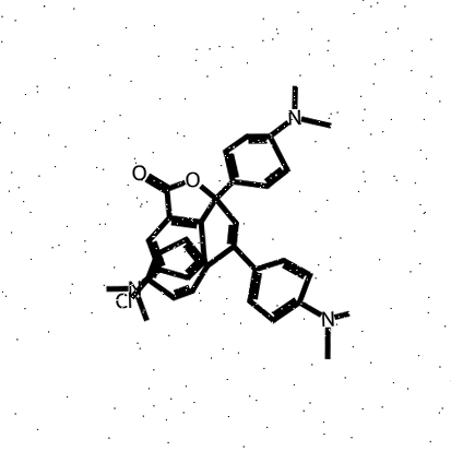 CN(C)c1ccc(C(=CC2(c3ccc(N(C)C)cc3)OC(=O)c3cc(N(C)C)ccc32)c2ccc(Cl)cc2)cc1